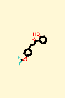 O=C(C=Cc1ccc(OC(F)F)cc1)c1ccccc1O